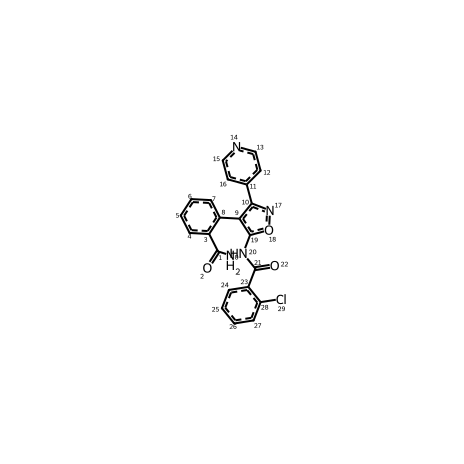 NC(=O)c1ccccc1-c1c(-c2ccncc2)noc1NC(=O)c1ccccc1Cl